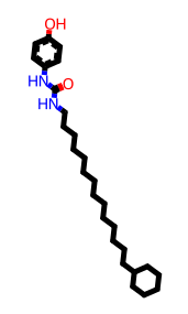 O=C(NCCCCCCCCCCCCCCC1CCCCC1)Nc1ccc(O)cc1